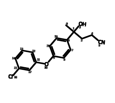 CC(O)(CCC#N)c1ccc(Oc2cccc(Cl)c2)cc1